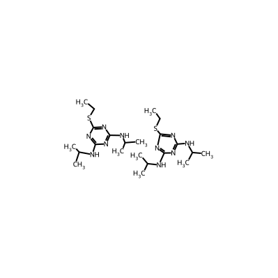 CCSc1nc(NC(C)C)nc(NC(C)C)n1.CCSc1nc(NC(C)C)nc(NC(C)C)n1